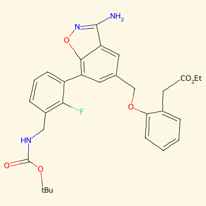 CCOC(=O)Cc1ccccc1OCc1cc(-c2cccc(CNC(=O)OC(C)(C)C)c2F)c2onc(N)c2c1